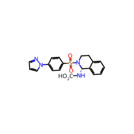 O=C(O)N[C@H]1c2ccccc2CCN1S(=O)(=O)c1ccc(-n2cccn2)cc1